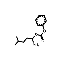 CC(C)CCC(N)SC(=O)Oc1ccccc1